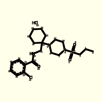 CCCS(=O)(=O)N1CCN(C2(CNC(=O)c3ccccc3Cl)CCCCC2)CC1.Cl